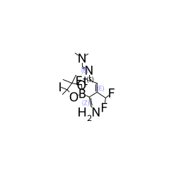 CC[C@@H](/C=C(\C(=C/N)B1OC(C)(C)C(C)(I)O1)C(F)F)/N=C/N(C)C